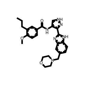 CCCc1cc(C(=O)Nc2c[nH]nc2-c2nc3cc(CN4CCOCC4)ccc3[nH]2)ccc1OC